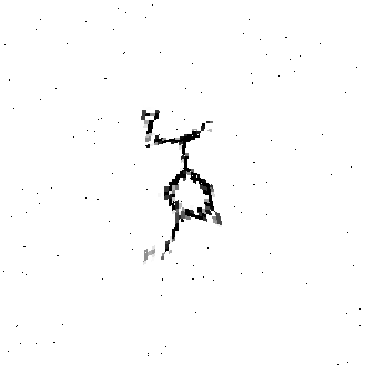 CCOC(=O)c1[c]n(C)nc1